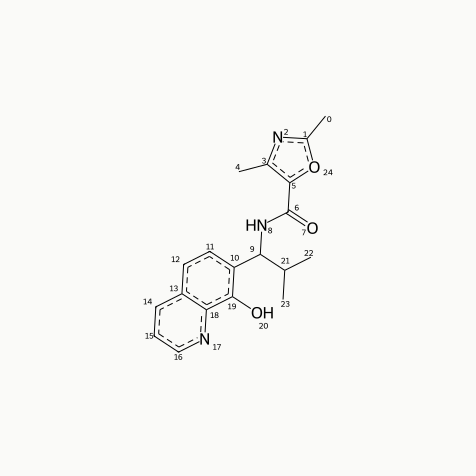 Cc1nc(C)c(C(=O)NC(c2ccc3cccnc3c2O)C(C)C)o1